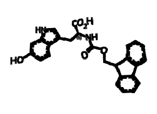 O=C(N[C@@H](Cc1c[nH]c2cc(O)ccc12)C(=O)O)OCC1c2ccccc2-c2ccccc21